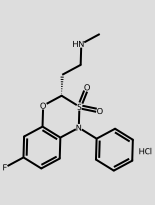 CNCC[C@H]1Oc2cc(F)ccc2N(c2ccccc2)S1(=O)=O.Cl